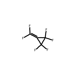 FC(F)=C1C(F)(F)C1(F)F